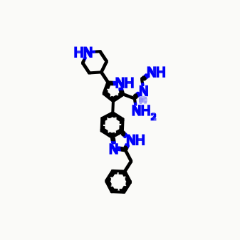 N=C/N=C(/N)c1[nH]c(C2CCNCC2)cc1-c1ccc2nc(Cc3ccccc3)[nH]c2c1